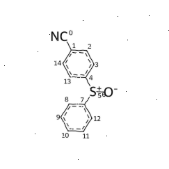 N#Cc1ccc([S+]([O-])c2ccccc2)cc1